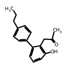 CCCc1ccc(-c2cccc(O)c2CC(C)=O)cc1